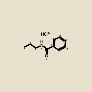 CCCNC(=O)c1ccccc1.Cl